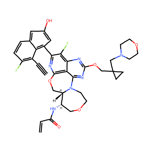 C#Cc1c(F)ccc2cc(O)cc(-c3nc4c5c(nc(OCC6(CN7CCOCC7)CC6)nc5c3F)N3CCOC[C@H](NC(=O)C=C)[C@@H]3CO4)c12